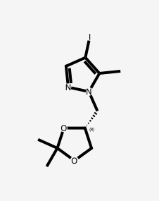 Cc1c(I)cnn1C[C@@H]1COC(C)(C)O1